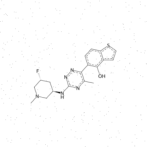 Cc1nc(N[C@@H]2C[C@@H](F)CN(C)C2)nnc1-c1ccc2sccc2c1O